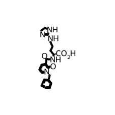 O=C(N[C@@H](CCCNC1=NCCN1)C(=O)O)c1cccn(Cc2ccccc2)c1=O